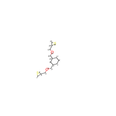 C1CC(COCC2CS2)CC(COCC2CS2)C1